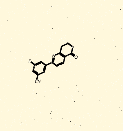 N#Cc1cc(F)cc(-c2ccc3c(n2)CCCC3=O)c1